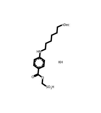 CCCCCCCCCCCCCCCCNc1ccc(C(=O)OCS(=O)(=O)O)cc1.[KH]